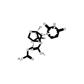 CC(=O)OC[C@@]12CO[C@@H]([C@H](n3ccc(=O)[nH]c3=O)O1)[C@@H]2OC(C)=O